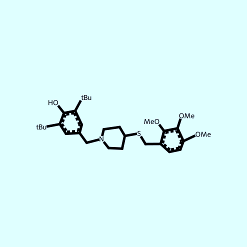 COc1ccc(CSC2CCN(Cc3cc(C(C)(C)C)c(O)c(C(C)(C)C)c3)CC2)c(OC)c1OC